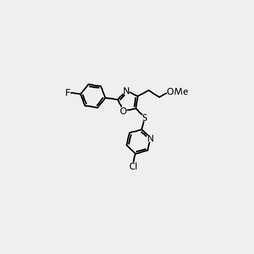 COCCc1nc(-c2ccc(F)cc2)oc1Sc1ccc(Cl)cn1